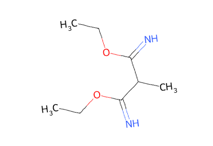 CCOC(=N)C(C)C(=N)OCC